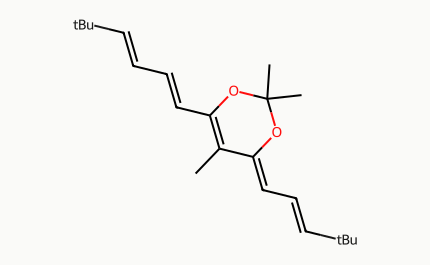 CC1=C(/C=C/C=C/C(C)(C)C)OC(C)(C)O/C1=C\C=C\C(C)(C)C